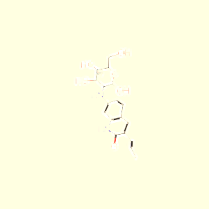 C/C=C/c1cc2ccc(NC3C(O)OC(CO)[C@H](O)C3O)cc2[nH]c1=O